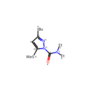 CCN(CC)C(=O)n1nc(C(C)(C)C)cc1SC